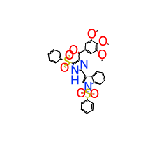 COc1cc(C(=O)c2nc(-c3cn(S(=O)(=O)c4ccccc4)c4ccccc34)[nH]c2S(=O)(=O)c2ccccc2)cc(OC)c1OC